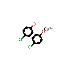 [Cu+2].[O-]c1ccc(Cl)cc1.[O-]c1ccc(Cl)cc1